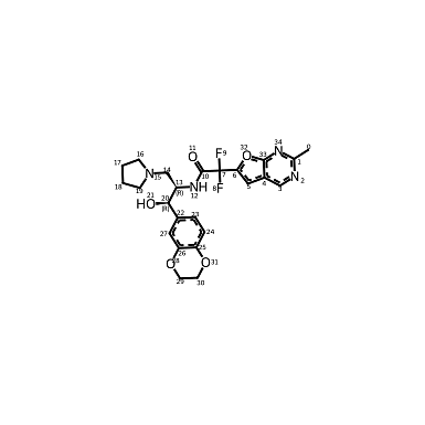 Cc1ncc2cc(C(F)(F)C(=O)N[C@H](CN3CCCC3)[C@H](O)c3ccc4c(c3)OCCO4)oc2n1